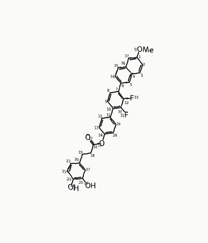 COc1ccc2cc(-c3ccc(-c4ccc(OC(=O)CCc5ccc(O)c(O)c5)cc4)c(F)c3F)ccc2c1